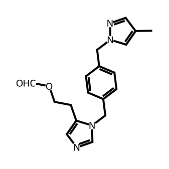 Cc1cnn(Cc2ccc(Cn3cncc3CCOC=O)cc2)c1